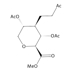 COC(=O)[C@H]1OC[C@H](OC(C)=O)[C@@H](CCC(C)=O)[C@@H]1OC(C)=O